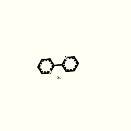 [Sc].c1ccc(-c2ccccn2)nc1